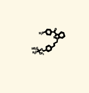 Cc1ccc(C(=O)c2nn(CC=Cc3ccc(COC(C)(C)C(=O)O)cc3)c3ccccc23)cc1